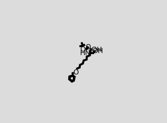 CC(C)(C)OC(=O)NC(CO)(CO)CCCCCCCCOCc1ccccc1